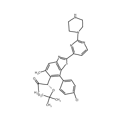 CC(=O)[C@@H](OC(C)(C)C)c1c(C)cc2nc(-c3ccnc(N4CCNCC4)n3)sc2c1-c1ccc(Cl)cc1